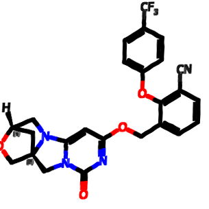 N#Cc1cccc(COc2cc3n(c(=O)n2)C[C@]24CO[C@H](CN32)C4)c1Oc1ccc(C(F)(F)F)cc1